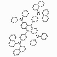 c1ccc(N(c2ccccc2)c2ccc3c(-c4ccc(N(c5cccc6ccccc56)c5cccc6ccccc56)cc4)c4cc(N(c5ccccc5)c5ccccc5)ccc4c(-c4ccc(N(c5cccc6ccccc56)c5cccc6ccccc56)cc4)c3c2)cc1